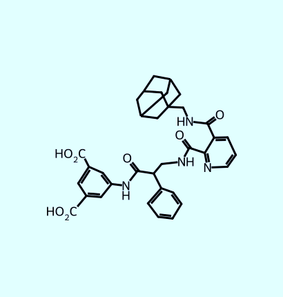 O=C(O)c1cc(NC(=O)C(CNC(=O)c2ncccc2C(=O)NCC23CC4CC(CC(C4)C2)C3)c2ccccc2)cc(C(=O)O)c1